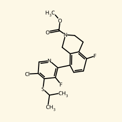 COC(=O)N1CCc2c(F)ccc(-c3ncc(Cl)c(SC(C)C)c3F)c2C1